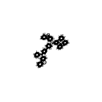 c1ccc(N(c2ccc(-c3ccc(N(c4ccc([Si](c5ccccc5)(c5ccccc5)c5ccccc5)cc4)c4ccc5oc6ccccc6c5c4)cc3)cc2)c2ccc3oc4ccccc4c3c2)cc1